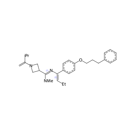 C=C(C(C)C)N1CC(/C(=N/C(=C/CC)c2ccc(OCCCc3ccccc3)cc2)NC)C1